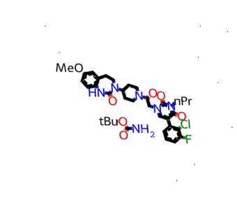 CC(C)(C)OC(N)=O.CCCn1c(=O)c(-c2cccc(F)c2Cl)cn(CC(=O)N2CCC(N3CCc4cc(OC)ccc4NC3=O)CC2)c1=O